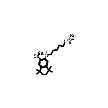 CC1(C)CCC(C)(C)c2cc([Se][SeH])c(OCCCCCO[Si](C)(C)C(C)(C)C)cc21